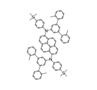 Cc1ccccc1-c1cc(-c2ccccc2C)cc(N(c2ccc([Si](C)(C)C)cc2)c2ccc3ccc4c(N(c5ccc([Si](C)(C)C)cc5)c5cc(-c6ccccc6C)cc(-c6ccccc6C)c5)ccc5ccc2c3c54)c1